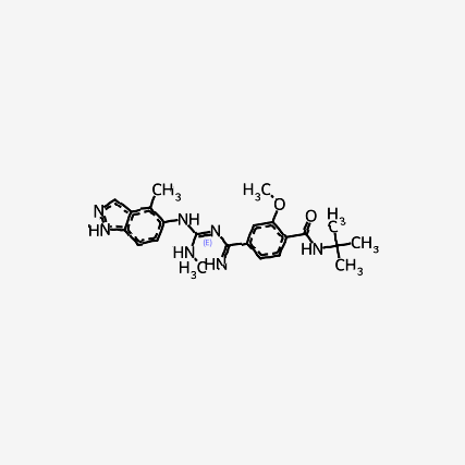 CN/C(=N\C(=N)c1ccc(C(=O)NC(C)(C)C)c(OC)c1)Nc1ccc2[nH]ncc2c1C